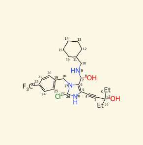 CCC(O)(C#CC1=C(C(O)NCC2CCCCC2)N(Cc2ccc(C(F)(F)F)cc2)C(Cl)N1)CC